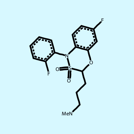 CNCCCC1Oc2cc(F)ccc2N(c2ccccc2F)S1(=O)=O